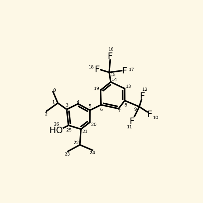 CC(C)c1cc(-c2cc(C(F)(F)F)cc(C(F)(F)F)c2)cc(C(C)C)c1O